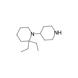 CCC1(CC)CCCCN1C1CCNCC1